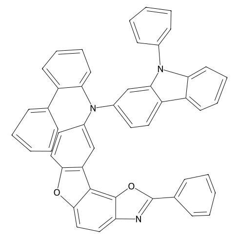 c1ccc(-c2nc3ccc4oc5ccc(N(c6ccc7c8ccccc8n(-c8ccccc8)c7c6)c6ccccc6-c6ccccc6)cc5c4c3o2)cc1